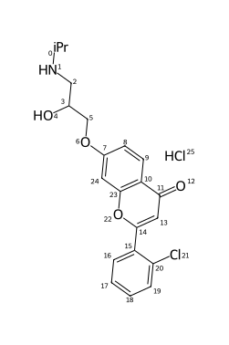 CC(C)NCC(O)COc1ccc2c(=O)cc(-c3ccccc3Cl)oc2c1.Cl